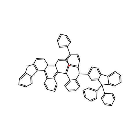 c1ccc(-c2ccc(N(c3ccc4c(c3)C(c3ccccc3)(c3ccccc3)c3ccccc3-4)c3ccccc3-c3cccc4c5ccc6oc7ccccc7c6c5c5ccccc5c34)cc2)cc1